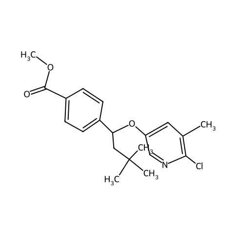 COC(=O)c1ccc(C(CC(C)(C)C)Oc2cnc(Cl)c(C)c2)cc1